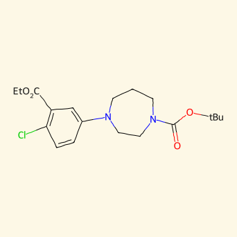 CCOC(=O)c1cc(N2CCCN(C(=O)OC(C)(C)C)CC2)ccc1Cl